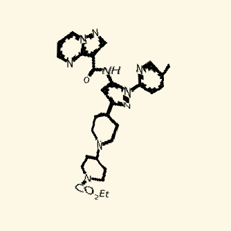 CCOC(=O)N1CCC(N2CCC(c3cc(NC(=O)c4cnn5cccnc45)n(-c4ccc(C)cn4)n3)CC2)CC1